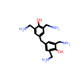 NCc1cc(Cc2cc(CN)c(O)c(CN)c2)cc(CN)c1O